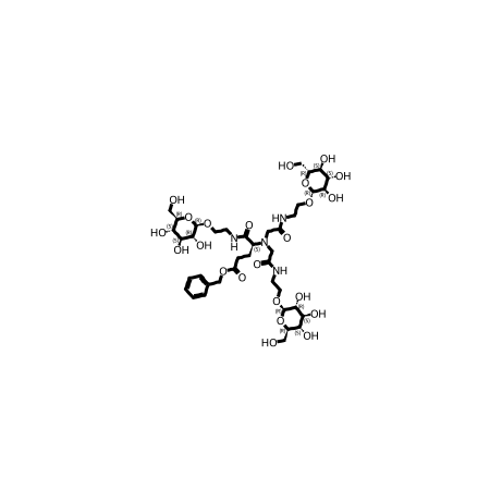 O=C(CN(CC(=O)NCCO[C@@H]1O[C@H](CO)[C@@H](O)[C@H](O)[C@H]1O)[C@@H](CCC(=O)OCc1ccccc1)C(=O)NCCO[C@@H]1O[C@H](CO)[C@@H](O)[C@H](O)[C@H]1O)NCCO[C@@H]1O[C@H](CO)[C@@H](O)[C@H](O)[C@H]1O